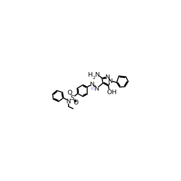 CCN(c1ccccc1)S(=O)(=O)c1ccc(/N=N/c2c(N)nn(-c3ccccc3)c2O)cc1